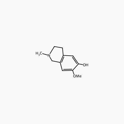 COc1cc2c(cc1O)CCN(C)C2